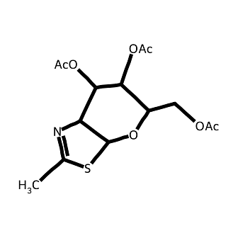 CC(=O)OCC1OC2SC(C)=NC2C(OC(C)=O)C1OC(C)=O